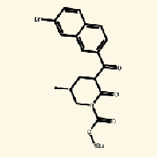 C[C@H]1CC(C(=O)c2ccc3ccc(Br)cc3c2)C(=O)N(C(=O)OC(C)(C)C)C1